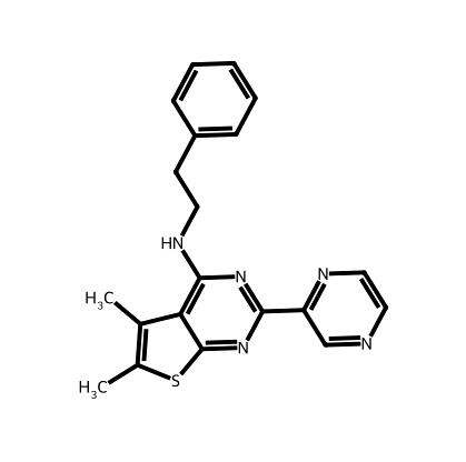 Cc1sc2nc(-c3cnccn3)nc(NCCc3ccccc3)c2c1C